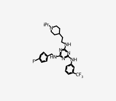 CC(C)N1CCC(CCNc2nc(NCc3ccc(F)cc3)nc(Nc3cccc(C(F)(F)F)c3)n2)CC1